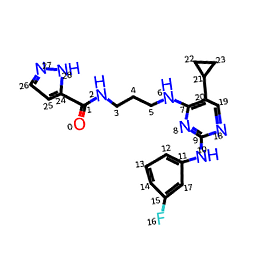 O=C(NCCCNc1nc(Nc2cccc(F)c2)ncc1C1CC1)c1ccn[nH]1